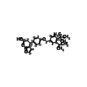 CC(C)c1cc(COc2ccc(C(CC(=O)O)c3ccon3)cc2)ccc1C(C)(C)C